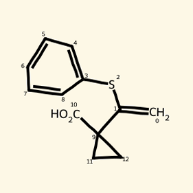 C=C(Sc1ccccc1)C1(C(=O)O)CC1